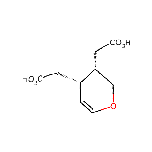 O=C(O)C[C@@H]1COC=C[C@@H]1CC(=O)O